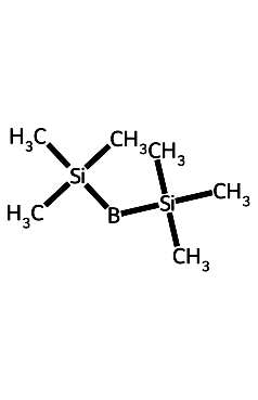 C[Si](C)(C)[B][Si](C)(C)C